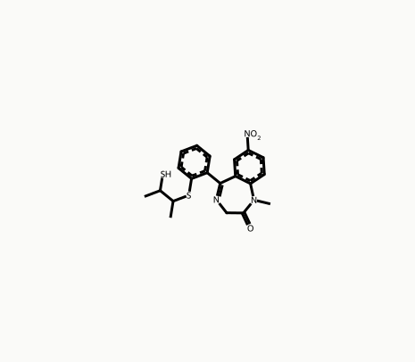 CC(S)C(C)Sc1ccccc1C1=NCC(=O)N(C)c2ccc([N+](=O)[O-])cc21